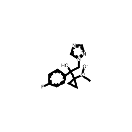 C[S+]([O-])C1(C(O)(Cn2cncn2)c2ccc(F)cc2)CC1